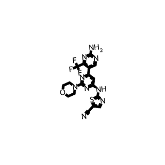 N#Cc1cnc(Nc2cc(-c3cnc(N)nc3C(F)(F)F)nc(N3CCOCC3)n2)s1